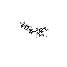 NCC(NC(=O)c1ccc(-c2ccc(C(F)(F)F)cn2)[nH]1)c1csc(CO)n1